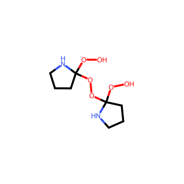 OOC1(OOC2(OO)CCCN2)CCCN1